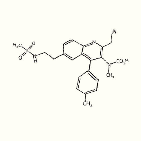 Cc1ccc(-c2c(N(C)C(=O)O)c(CC(C)C)nc3ccc(CCNS(C)(=O)=O)cc23)cc1